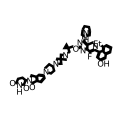 CCc1cccc2cc(O)cc(-c3ncc4c(N5CC6CCC(C5)N6)nc(OCC5(CN6CC7(C6)CN(C6CCN(c8ccc9c(c8)CN(C8CCC(=O)NC8=O)C9=O)CC6)C7)CC5)nc4c3F)c12